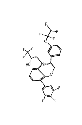 O[C@@H](CN1c2cccc(-c3cc(F)c(F)c(F)c3)c2OCC1c1cccc(OC(F)(F)C(F)F)c1)C(F)(F)F